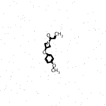 C=CC(=O)N1CC(Oc2ccc(OC)cc2)C1